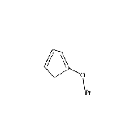 CC(C)OC1=CC=CC1